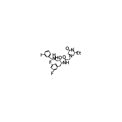 CC[C@H]1CN(CC(=O)N[C@@H](Cc2cc(F)cc(F)c2)[C@@H](O)CNCc2cccc(I)c2)CC(=O)N1C